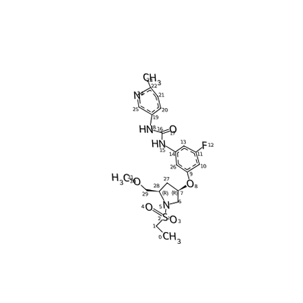 CCS(=O)(=O)N1C[C@H](Oc2cc(F)cc(NC(=O)Nc3ccc(C)nc3)c2)C[C@@H]1COC